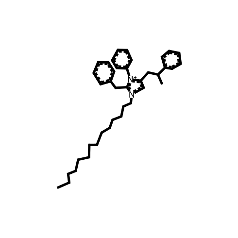 CCCCCCCCCCCCCCn1cc(CC(C)c2ccccc2)[n+](-c2ccccc2)c1Cc1ccccc1